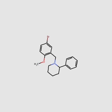 COc1ccc(Br)cc1CN1CCCCC1c1ccccc1